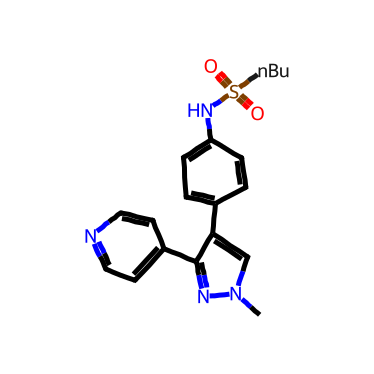 CCCCS(=O)(=O)Nc1ccc(-c2cn(C)nc2-c2ccncc2)cc1